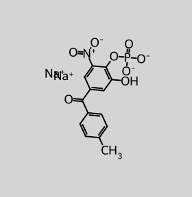 Cc1ccc(C(=O)c2cc(O)c(OP(=O)([O-])[O-])c([N+](=O)[O-])c2)cc1.[Na+].[Na+]